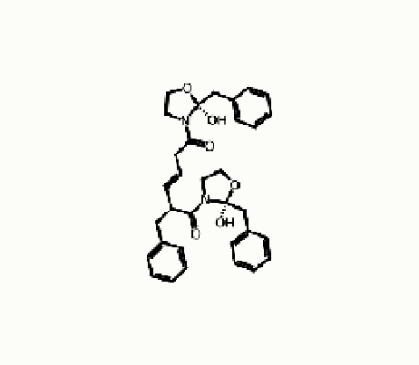 O=C(C/C=C/[C@H](Cc1ccccc1)C(=O)N1CCO[C@@]1(O)Cc1ccccc1)N1CCO[C@@]1(O)Cc1ccccc1